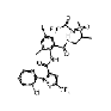 Cc1cc(I)cc(C(=O)NCC(C)S(C)(=O)=NC(=O)C(F)(F)F)c1NC(=O)c1cc(C(F)(F)F)nn1-c1ncccc1Cl